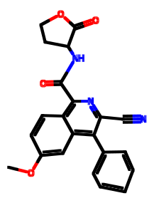 COc1ccc2c(C(=O)NC3CCOC3=O)nc(C#N)c(-c3ccccc3)c2c1